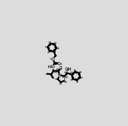 CC(C)[C@H](NC(=O)OCc1ccccc1)C(=O)N1CCC[C@H]1[C@H](O)c1ccccc1